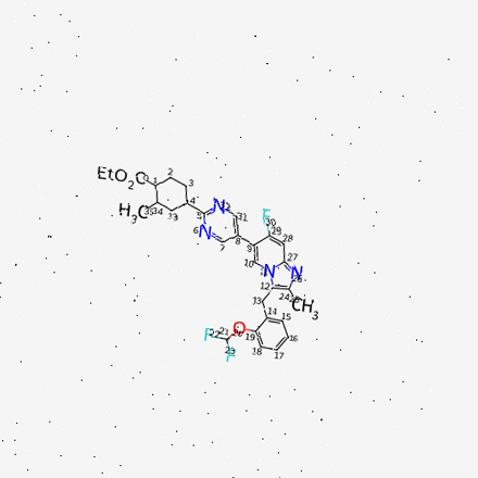 CCOC(=O)C1CCC(c2ncc(-c3cn4c(Cc5ccccc5OC(F)F)c(C)nc4cc3F)cn2)CC1C